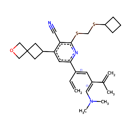 C=C/C(=C\C(=C\N(C)C)C(=C)C)c1cc(C2CC3(COC3)C2)c(C#N)c(SCSC2CCC2)n1